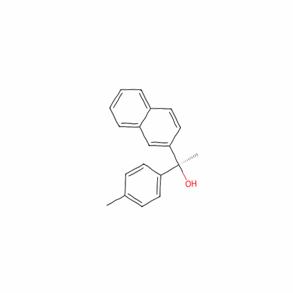 Cc1ccc([C@](C)(O)c2ccc3ccccc3c2)cc1